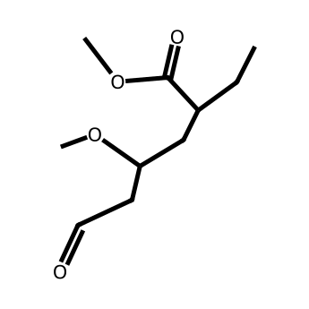 CCC(CC(CC=O)OC)C(=O)OC